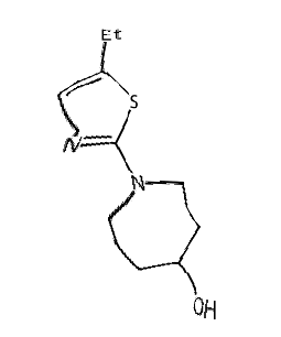 CCc1cnc(N2CCC(O)CC2)s1